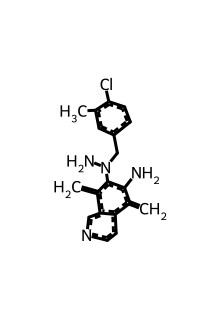 C=c1c(N)c(N(N)Cc2ccc(Cl)c(C)c2)c(=C)c2cnccc12